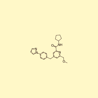 COCc1cc(Cc2ccc(-n3cccn3)cc2)cc(C(=O)NC2CCCC2)n1